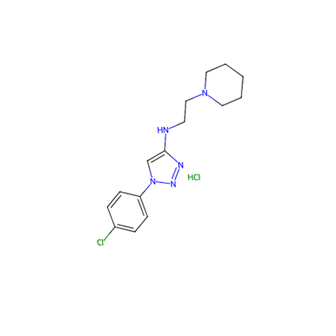 Cl.Clc1ccc(-n2cc(NCCN3CCCCC3)nn2)cc1